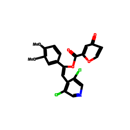 COc1ccc(C(=Cc2c(Cl)cncc2Cl)OC(=O)c2cc(=O)cco2)cc1OC